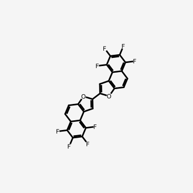 Fc1c(F)c(F)c2c(ccc3oc(-c4cc5c(ccc6c(F)c(F)c(F)c(F)c65)o4)cc32)c1F